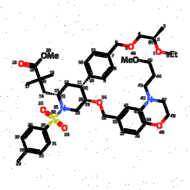 CCO[C@H](C)COCc1ccc([C@H]2C[C@@H](CC(C)(C)C(=O)OC)N(S(=O)(=O)c3ccc(C)cc3)C[C@@H]2OCc2ccc3c(c2)N(CCCOC)CCO3)cc1